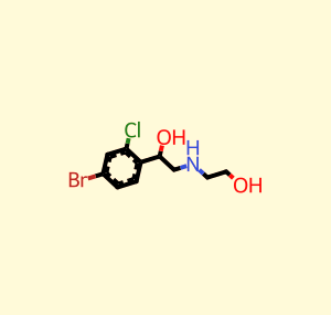 OCCNCC(O)c1ccc(Br)cc1Cl